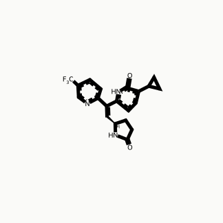 O=C1CC[C@H](C=C(c2ccc(C(F)(F)F)cn2)c2ccc(C3CC3)c(=O)[nH]2)N1